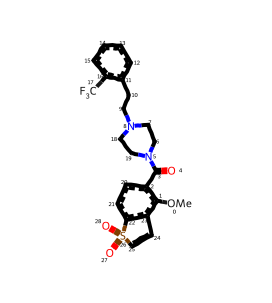 COc1c(C(=O)N2CCN(CCc3ccccc3C(F)(F)F)CC2)ccc2c1C=CS2(=O)=O